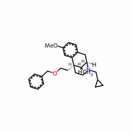 COc1ccc2c(c1)[C@]1(CCOCc3ccccc3)CCN(CC3CC3)[C@H](C2)[C@@H]1C